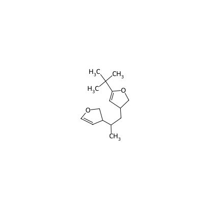 CC(CC1C=C(C(C)(C)C)OC1)C1C=COC1